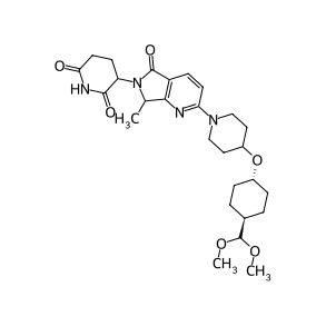 COC(OC)[C@H]1CC[C@H](OC2CCN(c3ccc4c(n3)C(C)N(C3CCC(=O)NC3=O)C4=O)CC2)CC1